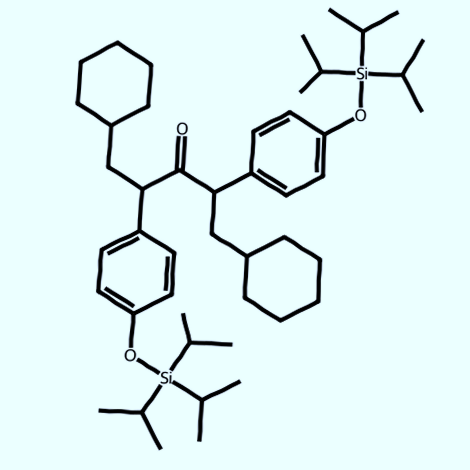 CC(C)[Si](Oc1ccc(C(CC2CCCCC2)C(=O)C(CC2CCCCC2)c2ccc(O[Si](C(C)C)(C(C)C)C(C)C)cc2)cc1)(C(C)C)C(C)C